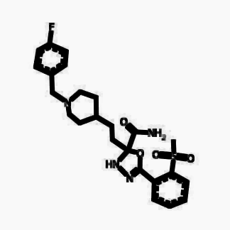 CS(=O)(=O)c1ccccc1C1=NNC(CCC2CCN(Cc3ccc(F)cc3)CC2)(C(N)=O)O1